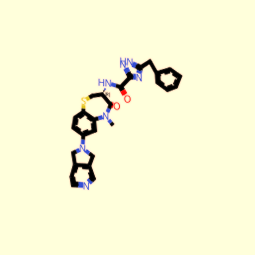 CN1C(=O)[C@@H](NC(=O)c2n[nH]c(Cc3ccccc3)n2)CSc2ccc(N3Cc4ccncc4C3)cc21